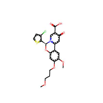 COCCCOc1cc2c(cc1OC)-c1cc(=O)c(C(=O)O)cn1[C@H](c1sccc1Cl)O2